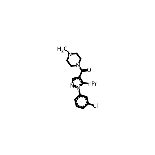 CCCc1c(C(=O)N2CCN(C)CC2)cnn1-c1cccc(Cl)c1